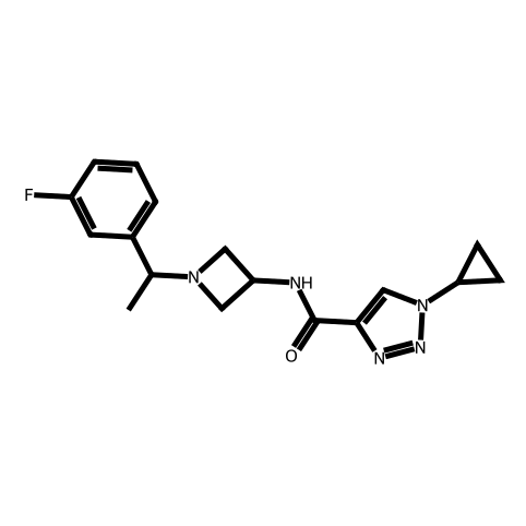 CC(c1cccc(F)c1)N1CC(NC(=O)c2cn(C3CC3)nn2)C1